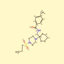 CCCS(=O)(=O)N1CCN(C2(CNC(=O)c3ccc(C)cc3)CCCCC2)CC1